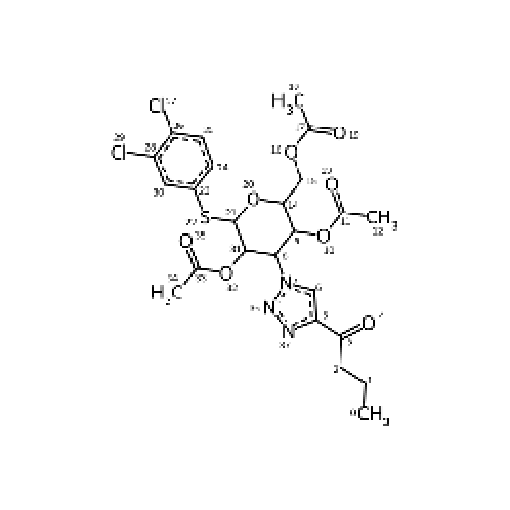 CCCC(=O)c1cn(C2C(OC(C)=O)C(COC(C)=O)OC(Sc3ccc(Cl)c(Cl)c3)C2OC(C)=O)nn1